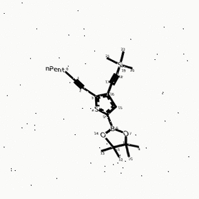 CCCCCC#Cc1sc(B2OC(C)(C)C(C)(C)O2)cc1C#C[Si](C)(C)C